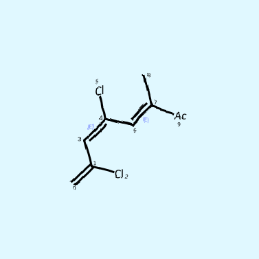 C=C(Cl)/C=C(Cl)\C=C(/C)C(C)=O